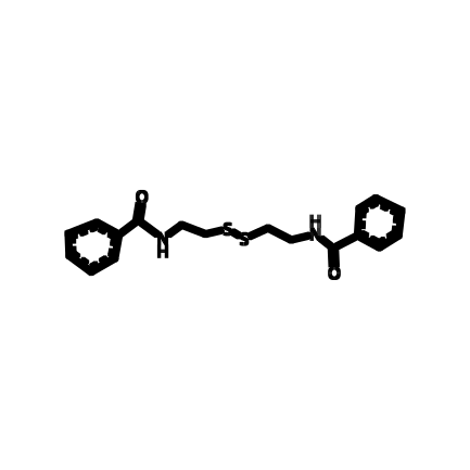 O=C(NCCSSCCNC(=O)c1ccccc1)c1ccccc1